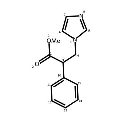 COC(=O)C(Cn1ccnc1)c1ccccc1